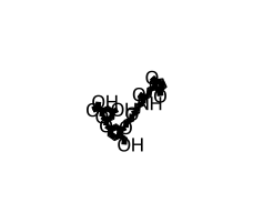 O=C(CCN1C(=O)C=CC1=O)NCCOCCOc1cc(OC2CC(O)CC(C(=O)O)O2)ccc1CO